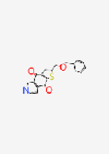 O=C1c2cnccc2C(=O)c2sc(COCc3ccccc3)cc21